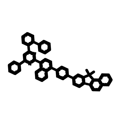 CC1(C)c2cc(-c3ccc(-c4ccc(-c5nc(-c6ccccc6)cc(-c6ccccc6-c6ccccc6)n5)c5ccccc45)cc3)ccc2-c2ccc3ccccc3c21